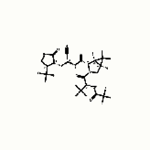 CC(C)(C)[C@H](NC(=O)C(F)(F)F)C(=O)N1C[C@H]2[C@@H]([C@H]1C(=O)N[C@H](C#N)C[C@H]1C(=O)NC[C@@H]1C(F)(F)F)C2(C)C